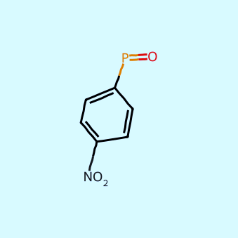 O=Pc1ccc([N+](=O)[O-])cc1